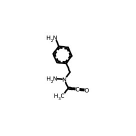 CC(=C=O)N(N)Cc1ccc(N)cc1